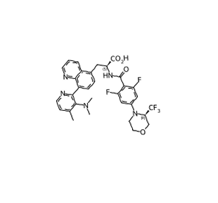 Cc1ccnc(-c2ccc(C[C@H](NC(=O)c3c(F)cc(N4CCOC[C@@H]4C(F)(F)F)cc3F)C(=O)O)c3cccnc23)c1N(C)C